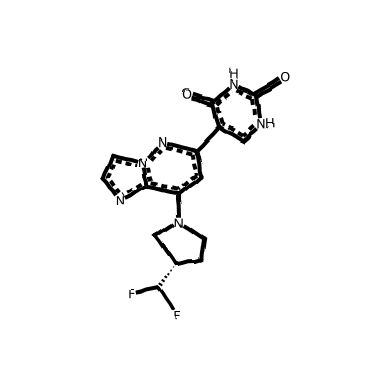 O=c1[nH]cc(-c2cc(N3CC[C@H](C(F)F)C3)c3nccn3n2)c(=O)[nH]1